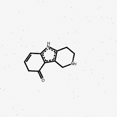 O=C1CC=Cc2[nH]c3c(c21)CNCC3